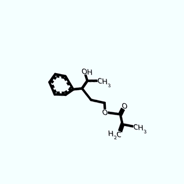 C=C(C)C(=O)OCCC(c1ccccc1)C(C)O